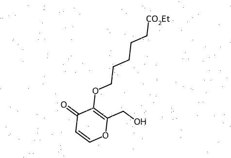 CCOC(=O)CCCCCOc1c(CO)occc1=O